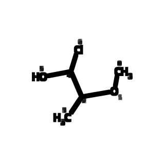 COC(C)C(O)Cl